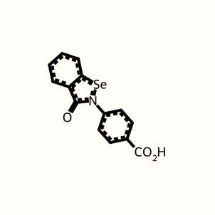 O=C(O)c1ccc(-n2[se]c3ccccc3c2=O)cc1